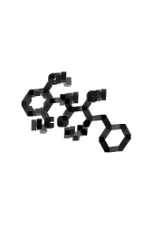 Cc1cccc(C)c1NC(=O)C(O)[C@H](N)CC1CCCCC1